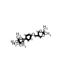 CC1(C)OCC(COc2ccc(B3OC(C)(C)C(C)(C)O3)cc2)CO1